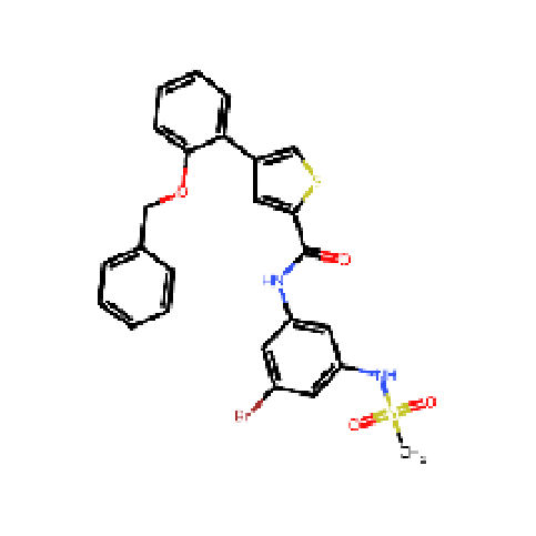 CS(=O)(=O)Nc1cc(Br)cc(NC(=O)c2cc(-c3ccccc3OCc3ccccc3)cs2)c1